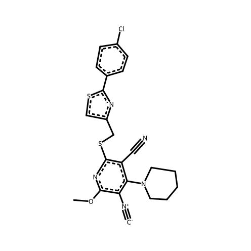 [C-]#[N+]c1c(OC)nc(SCc2csc(-c3ccc(Cl)cc3)n2)c(C#N)c1N1CCCCC1